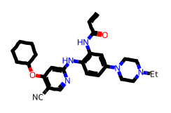 C=CC(=O)Nc1cc(N2CCN(CC)CC2)ccc1Nc1cc(OC2CCCCC2)c(C#N)cn1